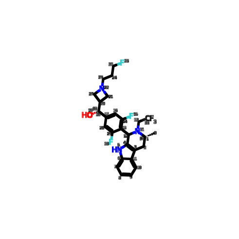 C[C@@H]1Cc2c([nH]c3ccccc23)C(c2c(F)cc([C@H](O)C3CN(CCCF)C3)cc2F)N1CC(F)(F)F